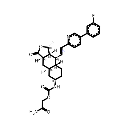 C[C@H]1OC(=O)[C@@H]2C[C@@H]3C[C@H](NC(=O)OCC(N)=O)CC[C@H]3[C@H](/C=C/c3ccc(-c4cccc(F)c4)cn3)[C@H]12